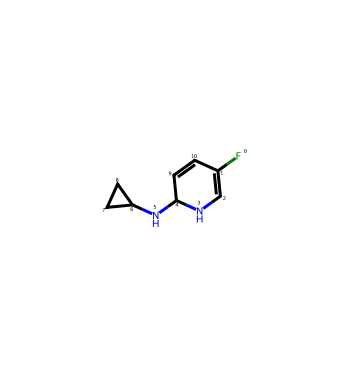 FC1=CNC(NC2CC2)C=C1